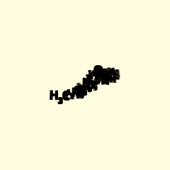 CCCN1CCN(c2ccc3c(n2)CCC(=O)C(c2nc4ccccc4s2)=C3)CC1